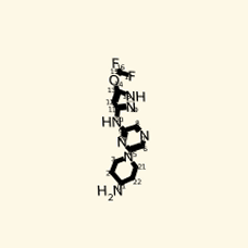 NC1CCN(c2cncc(Nc3cc(OC(F)F)[nH]n3)n2)CC1